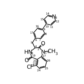 CN1C(=O)C(Cc2ccc(-c3ccncc3)cc2)NC(=O)c2c(Cl)cccc21